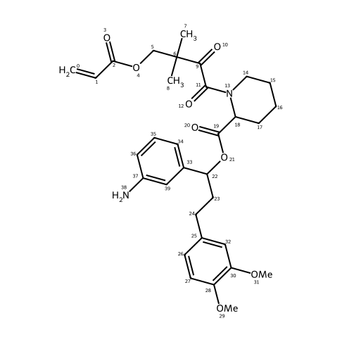 C=CC(=O)OCC(C)(C)C(=O)C(=O)N1CCCCC1C(=O)OC(CCc1ccc(OC)c(OC)c1)c1cccc(N)c1